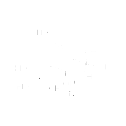 Cc1cc(C(C)(C)C)c(O)c(C(C)(C)C)c1.[Nd]